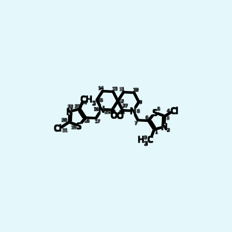 Cc1nc(Cl)sc1CN1CCCC2(CCCN(Cc3sc(Cl)nc3C)C2=O)C1=O